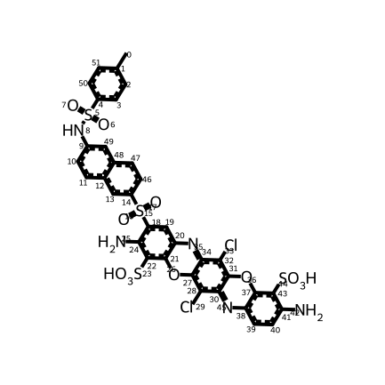 Cc1ccc(S(=O)(=O)Nc2ccc3cc(S(=O)(=O)c4cc5c(c(S(=O)(=O)O)c4N)Oc4c(Cl)c6c(c(Cl)c4=N5)Oc4c(ccc(N)c4S(=O)(=O)O)N=6)ccc3c2)cc1